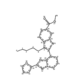 CCCCCn1c(-c2cccc3nc(-c4ccco4)oc23)nc2cc(C(=O)OC)ccc21